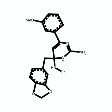 CCNC1(Cc2ccc3c(c2)OCO3)C=C(c2cccc(OC)c2)N=C(N)N1